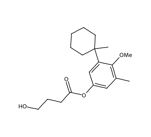 COc1c(C)cc(OC(=O)CCCO)cc1C1(C)CCCCC1